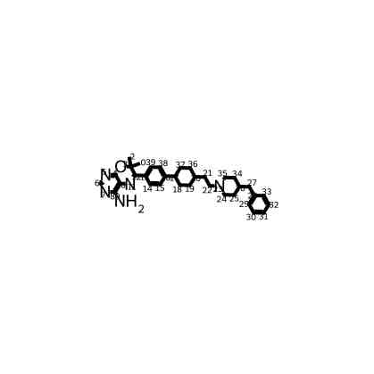 CC1(C)Oc2ncnc(N)c2N=C1c1ccc(C2CCC(CCN3CCC(Cc4ccccc4)CC3)CC2)cc1